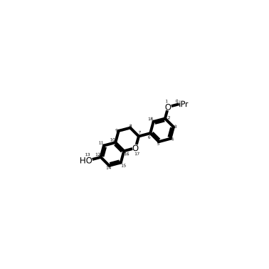 CC(C)Oc1cccc(C2CCc3cc(O)ccc3O2)c1